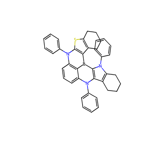 c1ccc(N2c3cccc4c3B(c3c2sc2c3CCCC2)c2c(c3c(n2-c2ccccc2)CCCC3)N4c2ccccc2)cc1